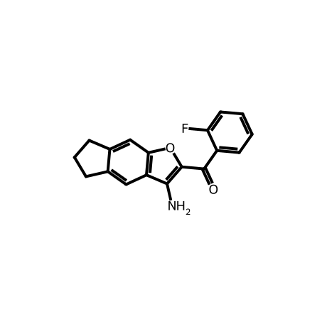 Nc1c(C(=O)c2ccccc2F)oc2cc3c(cc12)CCC3